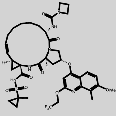 COc1ccc2c(O[C@@H]3C[C@H]4C(=O)N[C@]5(C(=O)NS(=O)(=O)C6(C)CC6)C[C@H]5C=CCCCCC[C@H](NC(=O)N5CCC5)C(=O)N4C3)cc(OCC(F)(F)F)nc2c1C